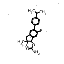 CC(C)c1ccc(-c2cc3c(cc2F)C(OC(N)=O)C(C)(C)C3)cc1